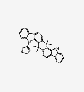 CC1(C)c2ccc3c4ccccc4n(C4=CCC=C4)c3c2C(C)(C)c2ccc3c([nH]c4ccccc43)c21